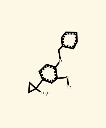 CCOc1cc(C2(C(=O)O)CC2)ccc1OCc1ccccc1